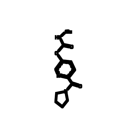 CC(C)(C)NC(=O)Oc1ccc(C(=O)N2CCCC2)nc1